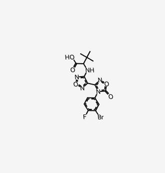 CC(C)(C)C(Nc1nonc1-c1noc(=O)n1-c1ccc(F)c(Br)c1)C(=O)O